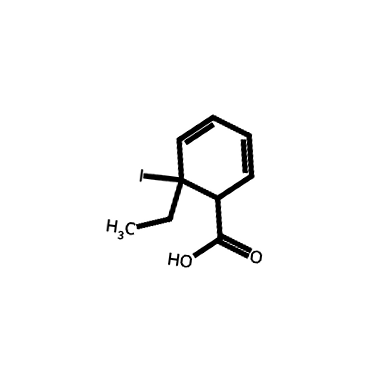 CCC1(I)C=CC=CC1C(=O)O